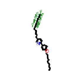 CCCCCCCCCOc1ccc(-c2ccc(CCCCCC(F)(F)C(F)(F)C(F)(F)C(F)(F)C(F)(F)C(F)(F)F)cn2)cc1